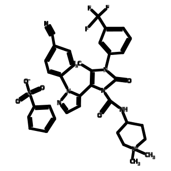 Cc1c(-c2ccnn2-c2ccc(C#N)cc2)n(C(=O)NC2CC[N+](C)(C)CC2)c(=O)n1-c1cccc(C(F)(F)F)c1.O=S(=O)([O-])c1ccccc1